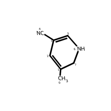 CC1=CC(C#N)=CNC1